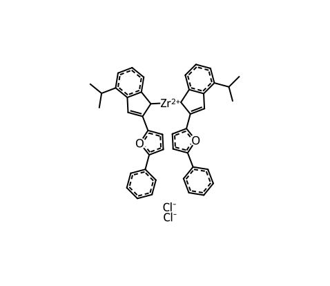 CC(C)c1cccc2c1C=C(c1ccc(-c3ccccc3)o1)[CH]2[Zr+2][CH]1C(c2ccc(-c3ccccc3)o2)=Cc2c(C(C)C)cccc21.[Cl-].[Cl-]